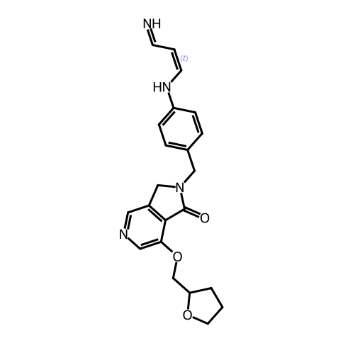 N=C/C=C\Nc1ccc(CN2Cc3cncc(OCC4CCCO4)c3C2=O)cc1